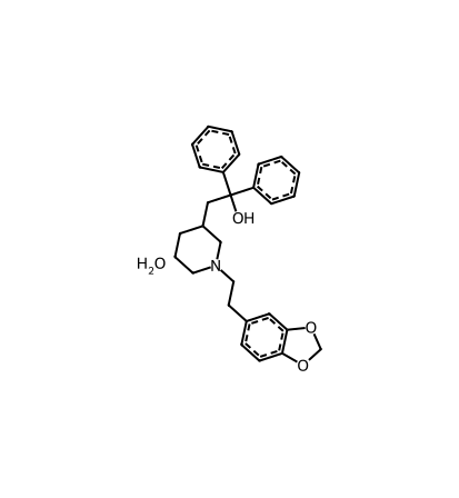 O.OC(CC1CCCN(CCc2ccc3c(c2)OCO3)C1)(c1ccccc1)c1ccccc1